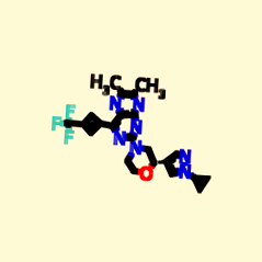 Cc1nc2nc(N3CCO[C@@H](c4cnn(C5CC5)c4)C3)nc(C34CC(C(F)(F)F)(C3)C4)c2nc1C